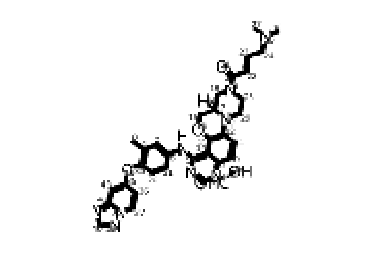 Cc1cc(Nc2ncnc3ccc4c(c23)OC[C@@H]2CN(C(=O)/C=C/CN(C)C)CCN42)ccc1Oc1ccn2ncnc2c1.O=CO